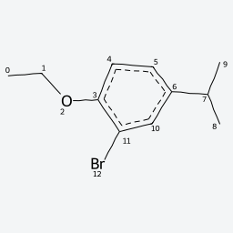 CCOc1ccc(C(C)C)cc1Br